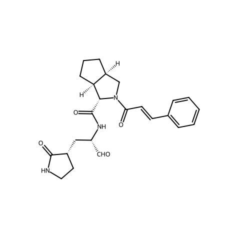 O=C[C@H](C[C@@H]1CCNC1=O)NC(=O)[C@@H]1[C@H]2CCC[C@H]2CN1C(=O)/C=C/c1ccccc1